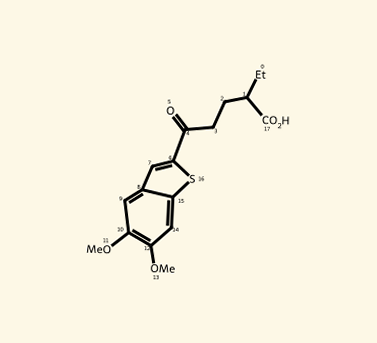 CCC(CCC(=O)c1cc2cc(OC)c(OC)cc2s1)C(=O)O